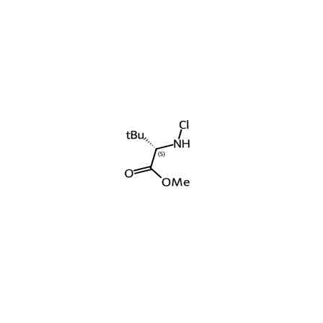 COC(=O)[C@@H](NCl)C(C)(C)C